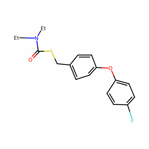 CCN(CC)C(=O)SCc1ccc(Oc2ccc(F)cc2)cc1